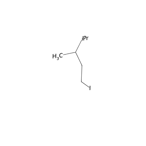 CC(C)C(C)CCI